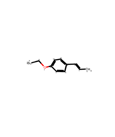 CC=Cc1ccc(OCC(C)CC)cc1